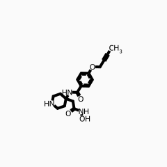 CC#CCOc1ccc(C(=O)NC2(CC(=O)NO)CCNCC2)cc1